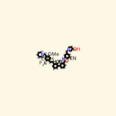 COc1cc(/C=C/c2cccc(-c3cccc(-c4nc5cc(CN6CC[C@@H](O)C6)cc(C#N)c5o4)c3C)c2C)c(C(F)(F)F)cc1CN1CCCC[C@H]1C(=O)O